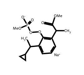 COC(=O)C(C)c1cccc(C(C)C2CC2)c1OOP(=O)([O-])OC.[Na+]